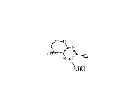 O=Cc1nc2c(cc1Cl)OCCN2